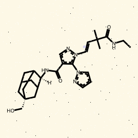 CCNC(=O)C(C)(C)/C=C/n1ncc(C(=O)N[C@H]2C3CC4CC2C[C@](CO)(C4)C3)c1-n1cccn1